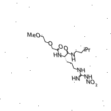 COCCOCC(=O)N[C@@H](CCCNC(=N)N[N+](=O)[O-])C(=O)N[CH]CC(C)C